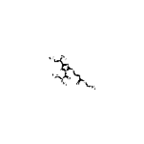 CCOC(=O)CCSc1nc(C(C)CC)nn1C(=O)N(C)C